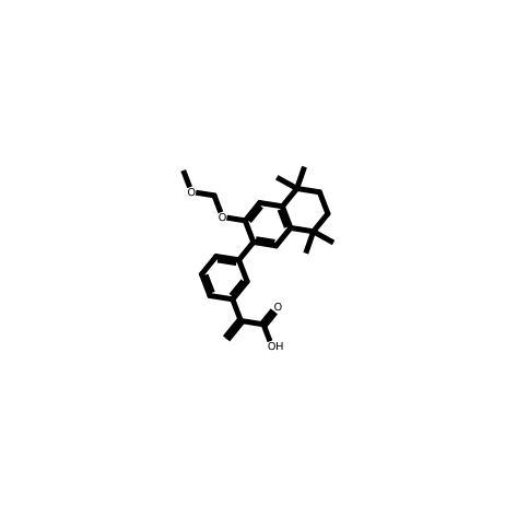 C=C(C(=O)O)c1cccc(-c2cc3c(cc2OCOC)C(C)(C)CCC3(C)C)c1